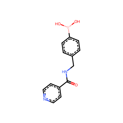 O=C(NCc1ccc(B(O)O)cc1)c1ccncc1